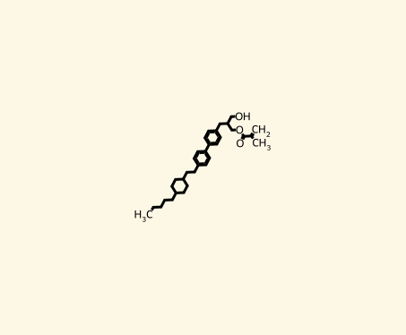 C=C(C)C(=O)OCC(CO)Cc1ccc(-c2ccc(CCC3CCC(CCCCC)CC3)cc2)cc1